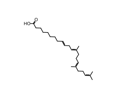 CC(C)=CCCC(C)=CCCC(C)=CCC=CCCCCCCCC(=O)O